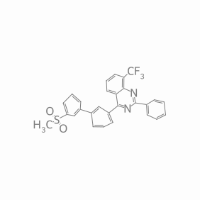 CS(=O)(=O)c1cccc(-c2cccc(-c3nc(-c4ccccc4)nc4c(C(F)(F)F)cccc34)c2)c1